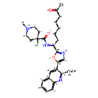 CCC(=O)CCCCC[C@H](NC(=O)C1(F)CCN(C)CC1)c1ncc(-c2cc3ccccc3nc2OC)o1